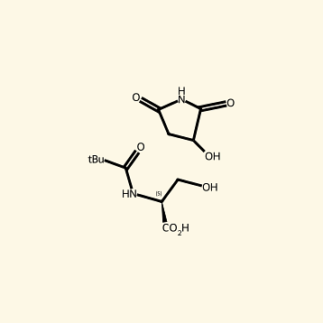 CC(C)(C)C(=O)N[C@@H](CO)C(=O)O.O=C1CC(O)C(=O)N1